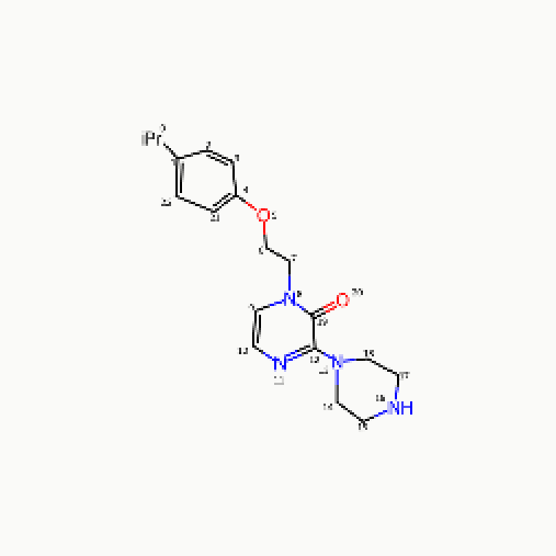 CC(C)c1ccc(OCCn2ccnc(N3CCNCC3)c2=O)cc1